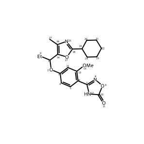 CCC(Oc1ccc(-c2noc(=O)[nH]2)c(OC)c1)c1oc(C2CCCCC2)nc1C